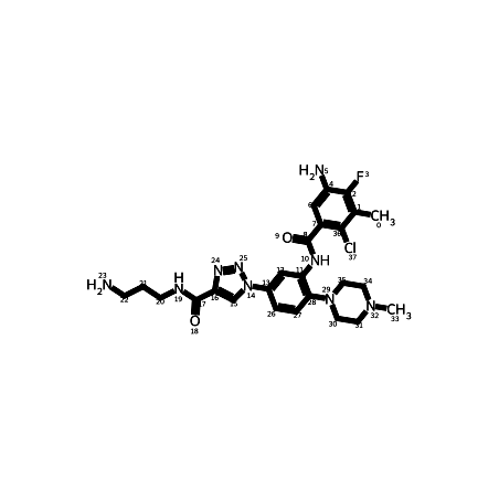 Cc1c(F)c(N)cc(C(=O)Nc2cc(-n3cc(C(=O)NCCCN)nn3)ccc2N2CCN(C)CC2)c1Cl